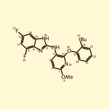 COc1ccc(Nc2nc3c(F)cc(F)cc3[nH]2)c(Oc2ccccc2C(C)(C)C)n1